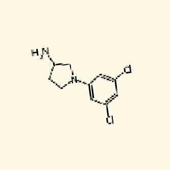 NC1CCN(c2cc(Cl)cc(Cl)c2)C1